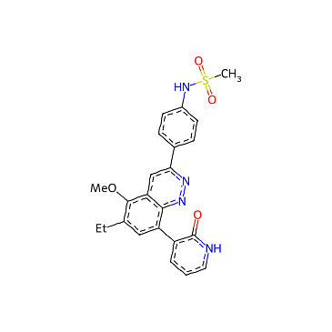 CCc1cc(-c2ccc[nH]c2=O)c2nnc(-c3ccc(NS(C)(=O)=O)cc3)cc2c1OC